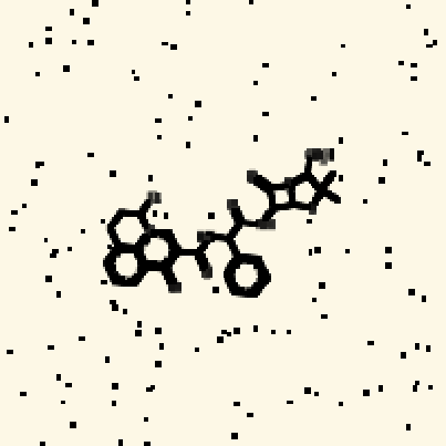 CCC1CCc2cccc3c(=O)c(C(=O)NC(C(=O)NC4C(=O)N5C4SC(C)(C)C5C(=O)O)c4ccccc4)cn1c23